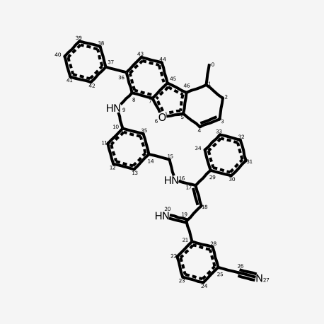 CC1CC=Cc2oc3c(Nc4cccc(CN/C(=C\C(=N)c5cccc(C#N)c5)c5ccccc5)c4)c(-c4ccccc4)ccc3c21